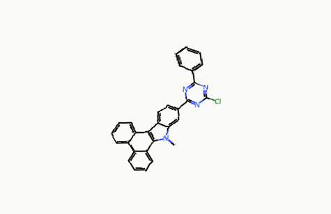 Cn1c2cc(-c3nc(Cl)nc(-c4ccccc4)n3)ccc2c2c3ccccc3c3ccccc3c21